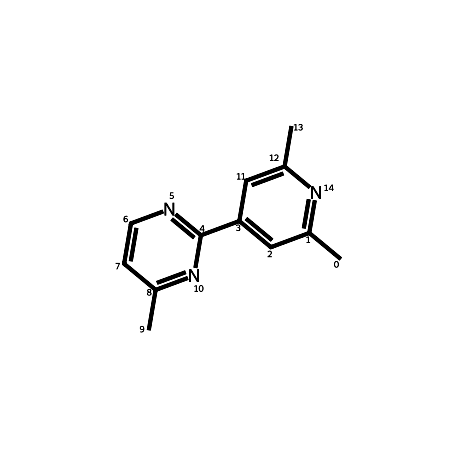 Cc1cc(-c2nccc(C)n2)cc(C)n1